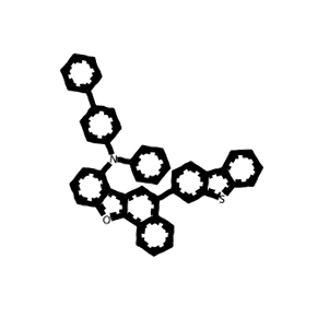 c1ccc(-c2ccc(N(c3ccccc3)c3cccc4oc5c6ccccc6c(-c6ccc7c(c6)sc6ccccc67)cc5c34)cc2)cc1